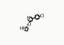 Clc1ccc(-c2cncc(OC[C@@H]3CCCN3)c2)cc1